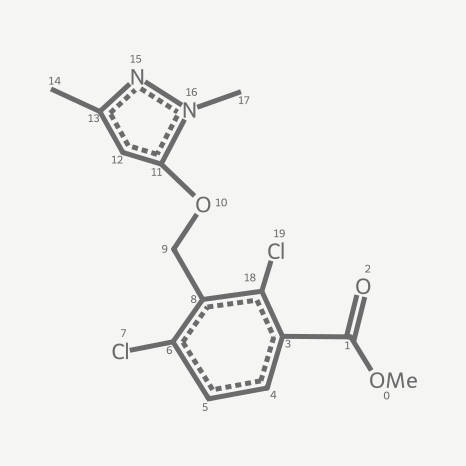 COC(=O)c1ccc(Cl)c(COc2cc(C)nn2C)c1Cl